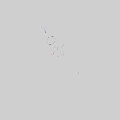 C=C1N(c2ccc(C#N)c(C(F)(F)F)c2)C(=O)C(C)(C)N1CCCCCN